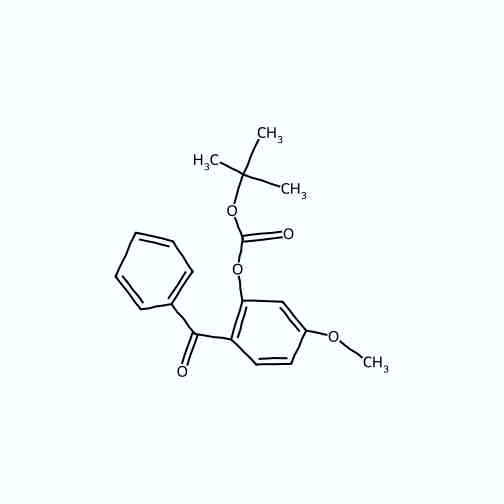 COc1ccc(C(=O)c2ccccc2)c(OC(=O)OC(C)(C)C)c1